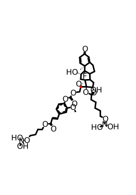 COc1cc(/C=C/C(=O)OCCCCON(O)O)ccc1OC(=O)OCC(=O)[C@@]1(OC(=O)CCCCCON(O)O)[C@H](O)CC2C3CCC4=CC(=O)C=C[C@]4(C)[C@@]3(F)[C@@H](O)C[C@@]21C